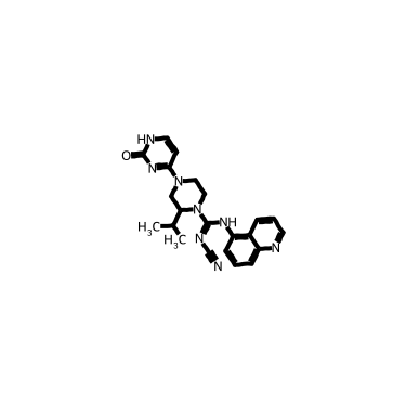 CC(C)C1CN(c2cc[nH]c(=O)n2)CCN1C(=NC#N)Nc1cccc2ncccc12